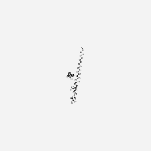 CCCCCCCCCCCCCCCCCCOCC(CSCCC[N+](C)(C)C)OC.CS(=O)(=O)[O-]